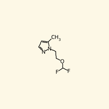 Cc1ccnn1CCOC(F)F